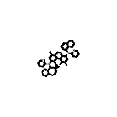 Cc1cc(N(c2ccccn2)c2cccc3ccccc23)c2ccc3c(C)cc(N(C4=CC=CCc5ccccc54)c4ccccn4)c(C4=CC4)c3c2c1C